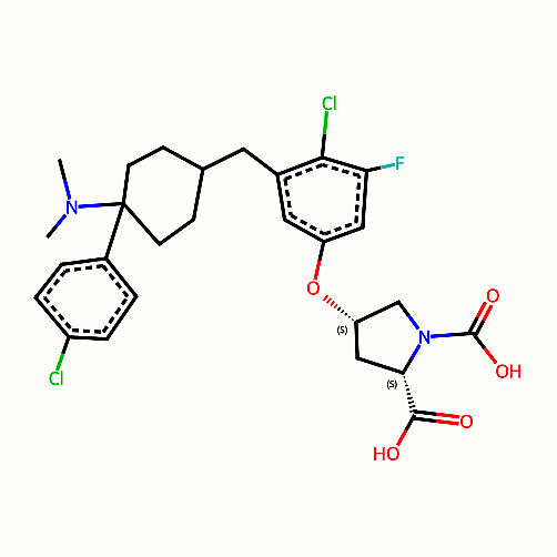 CN(C)C1(c2ccc(Cl)cc2)CCC(Cc2cc(O[C@H]3C[C@@H](C(=O)O)N(C(=O)O)C3)cc(F)c2Cl)CC1